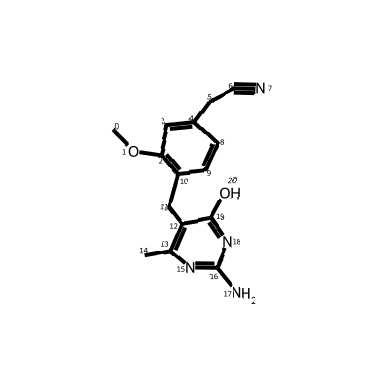 COc1cc(CC#N)ccc1Cc1c(C)nc(N)nc1O